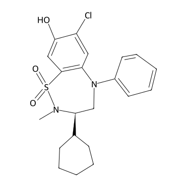 CN1[C@H](C2CCCCC2)CN(c2ccccc2)c2cc(Cl)c(O)cc2S1(=O)=O